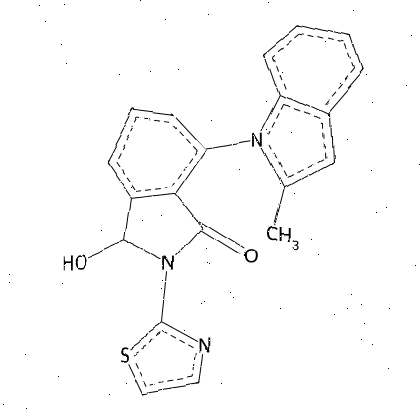 Cc1cc2ccccc2n1-c1cccc2c1C(=O)N(c1nccs1)C2O